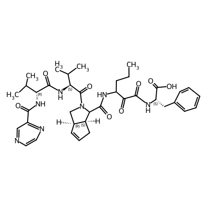 CCCC(NC(=O)C1[C@H]2CC=C[C@H]2CN1C(=O)[C@@H](NC(=O)[C@H](NC(=O)c1cnccn1)C(C)C)C(C)C)C(=O)C(=O)N[C@@H](Cc1ccccc1)C(=O)O